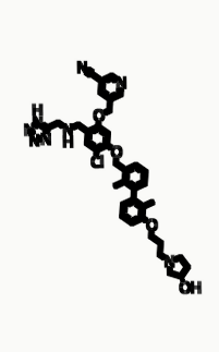 Cc1c(COc2cc(OCc3cncc(C#N)c3)c(CNCc3nnn[nH]3)cc2Cl)cccc1-c1cccc(OCCCN2CC[C@@H](O)C2)c1C